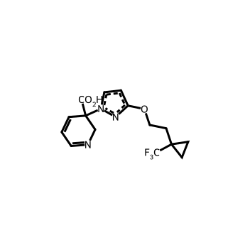 O=C(O)C1(n2ccc(OCCC3(C(F)(F)F)CC3)n2)C=CC=NC1